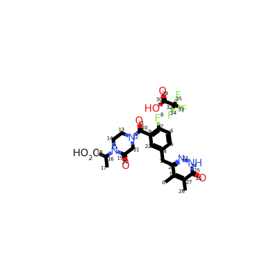 Cc1c(Cc2ccc(F)c(C(=O)N3CCN(C(C)C(=O)O)C(=O)C3)c2)n[nH]c(=O)c1C.O=C(O)C(F)(F)F